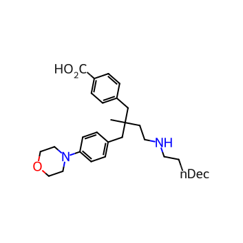 CCCCCCCCCCCCNCCC(C)(Cc1ccc(C(=O)O)cc1)Cc1ccc(N2CCOCC2)cc1